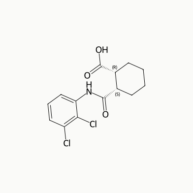 O=C(Nc1cccc(Cl)c1Cl)[C@H]1CCCC[C@H]1C(=O)O